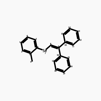 Cc1ccccc1[Se]C=C(c1ccccc1)c1ccccc1